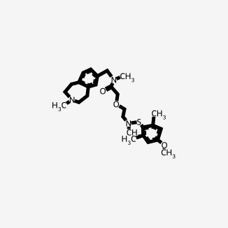 COc1cc(C)c(SN(C)CCOCC(=O)N(C)Cc2ccc3c(c2)CCN(C)CC3)c(C)c1